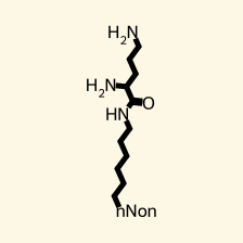 CCCCCCCCCCCCCCCNC(=O)C(N)CCCN